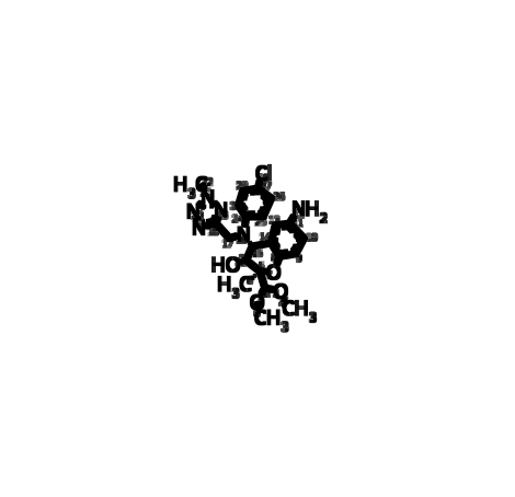 COC(OC)[C@]1(C)Oc2ccc(N)cc2[C@@H](N(Cc2nnn(C)n2)c2ccc(Cl)cc2)[C@@H]1O